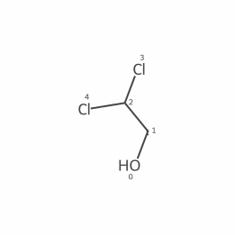 O[CH]C(Cl)Cl